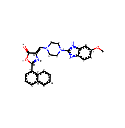 COc1ccc2nc(N3CCN(C=C4N=C(c5cccc6ccccc56)OC4=O)CC3)[nH]c2c1